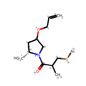 C=CCOC1C[C@@H](C(=O)O)N(C(=O)C(C)CSC(C)=O)C1